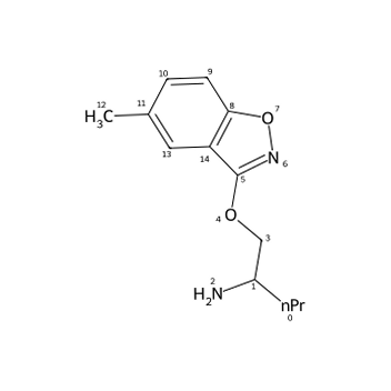 CCCC(N)COc1noc2ccc(C)cc12